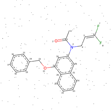 CC(=O)N(CC=C(F)F)c1cc(OCc2ccccc2)c2ccccc2c1